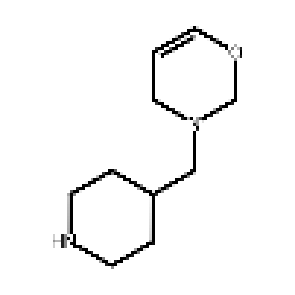 C1=COCN(CC2CCNCC2)C1